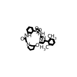 Cc1cccc(C)c1-c1cc2nc(n1)NS(=O)(=O)c1cccc(c1)NC(=O)CN1CCCC(C1)O2